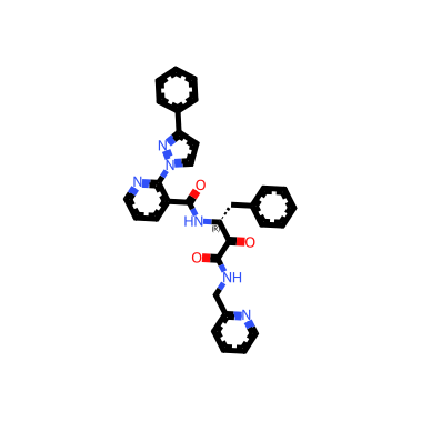 O=C(NCc1ccccn1)C(=O)[C@@H](Cc1ccccc1)NC(=O)c1cccnc1-n1ccc(-c2ccccc2)n1